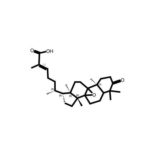 C/C(=C\CC[C@@H](C)[C@H]1CC[C@@]2(C)C34CCC5C(C)(C)C(=O)CC[C@]5(C)C3(CC[C@]12C)O4)C(=O)O